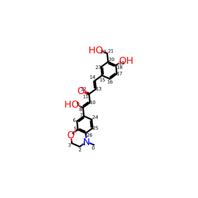 CN1CCOc2cc(/C(O)=C/C(=O)/C=C/c3ccc(O)c(CO)c3)ccc21